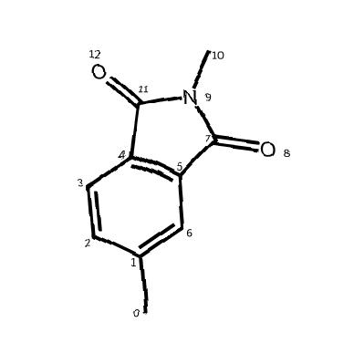 Cc1ccc2c(c1)C(=O)N(C)C2=O